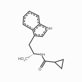 O=C(N[C@@H](Cc1c[nH]c2ccccc12)C(=O)O)C1CC1